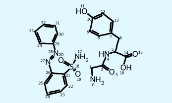 NCC(=O)NC(Cc1ccc(O)cc1)C(=O)O.NS(=O)(=O)c1ccccc1/N=N/c1ccccc1